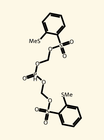 CSc1ccccc1S(=O)(=O)OCO[PH](=O)OCOS(=O)(=O)c1ccccc1SC